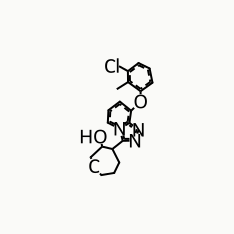 Cc1c(Cl)cccc1Oc1cccn2c(C3CCCCCC3O)nnc12